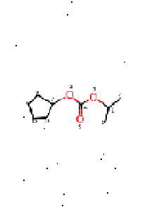 C[C](C)OC(=O)OC1CCCC1